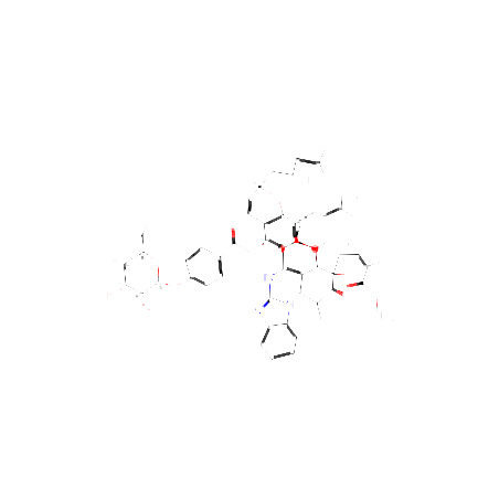 COC(=O)/C(C)=C\CC1(O)C(=O)C(C)C2C3=C(Nc4nc5ccccc5n42)c2c(OC(=O)c4ccc(O[C@@H]5O[C@H](CO)[C@@H](O)[C@H](O)[C@H]5O)cc4)c4c(c(CC=C(C)C)c2OC31C(C)C(C)C)OC(C)(CCC=C(C)C)C=C4